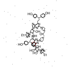 CCc1nnn([C@H]2C[C@@H](n3cnc4c(CCC(c5ccc(O)cc5)c5ccc(O)cc5)nc(N5CC[C@@H](CC(=O)C[C@@H]6CCN(c7nc(NCC(c8ccc(O)cc8)c8ccc(O)cc8)c8ncn([C@@H]9C[C@H](n%10nnc(CC)n%10)[C@@H](O)[C@H]9O)c8n7)C6)C5)nc43)[C@H](O)[C@@H]2O)n1